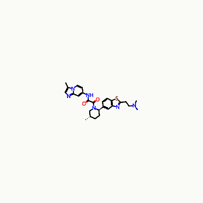 Cc1cnc2cc(NC(=O)C(=O)N3C[C@@H](C)CC[C@@H]3c3ccc4sc(CCN(C)C)nc4c3)ccn12